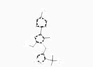 Cc1c(-c2ccc(C#N)cc2)cc(CO)n1Cc1cn[nH]c1C(C)(C)O